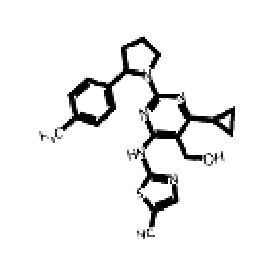 Cc1ccc(C2CCCN2c2nc(Nc3ncc(C#N)s3)c(CO)c(C3CC3)n2)cc1